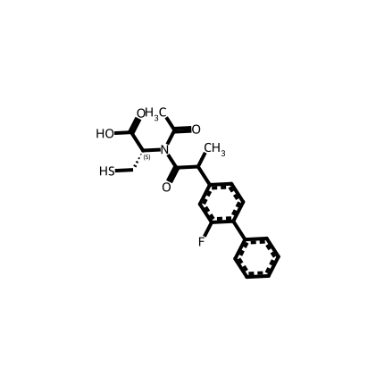 CC(=O)N(C(=O)C(C)c1ccc(-c2ccccc2)c(F)c1)[C@H](CS)C(=O)O